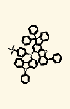 CS(C)(C)c1ccc(N(c2cc3c(c4oc5c(-c6ccccc6)cccc5c24)-c2ccccc2C3(c2ccccc2)c2ccccc2)c2cccc3c2c2ccccc2n3-c2ccccc2)cc1